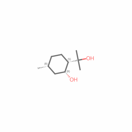 C[C@@H]1CC[C@H](C(C)(C)O)[C@H](O)C1